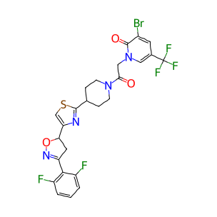 O=C(Cn1cc(C(F)(F)F)cc(Br)c1=O)N1CCC(c2nc(C3CC(c4c(F)cccc4F)=NO3)cs2)CC1